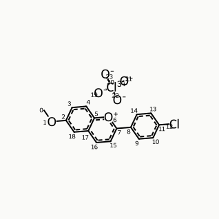 COc1ccc2[o+]c(-c3ccc(Cl)cc3)ccc2c1.[O-][Cl+3]([O-])([O-])[O-]